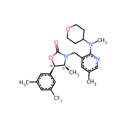 Cc1cc([C@H]2OC(=O)N(Cc3cc(C)cnc3N(C)C3CCOCC3)[C@H]2C)cc(C(F)(F)F)c1